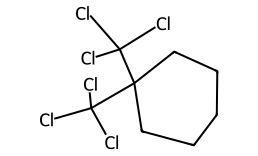 ClC(Cl)(Cl)C1(C(Cl)(Cl)Cl)CCCCC1